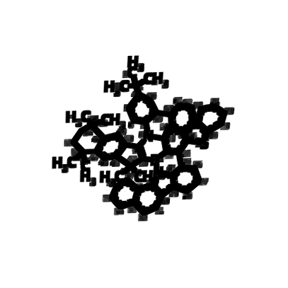 CC(C)(C)c1ccc(N2C3=C(B4c5c2cc2c(sc6ccccc62)c5-c2cccc5c6ccc7ccccc7c6n4c25)C(C)(C)c2cc4c(cc23)C(C)(C)CCC4(C)C)c(-c2ccccc2)c1